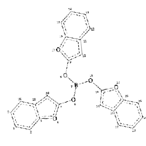 c1ccc2oc(OB(Oc3cc4ccccc4o3)Oc3cc4ccccc4o3)cc2c1